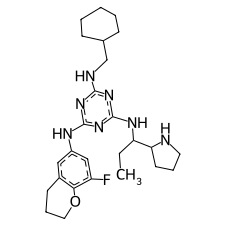 CCC(Nc1nc(NCC2CCCCC2)nc(Nc2cc(F)c3c(c2)CCCO3)n1)C1CCCN1